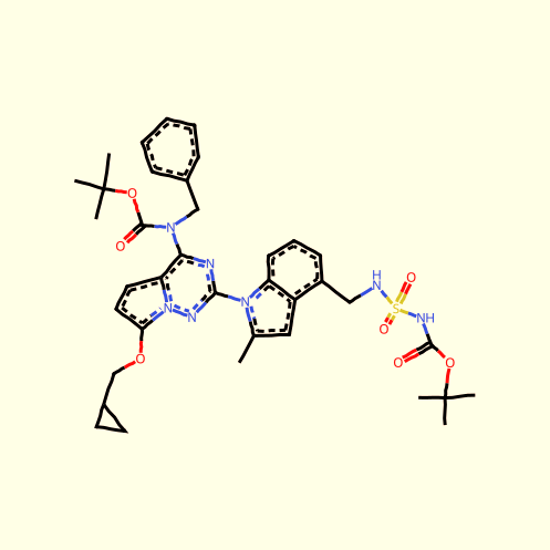 Cc1cc2c(CNS(=O)(=O)NC(=O)OC(C)(C)C)cccc2n1-c1nc(N(Cc2ccccc2)C(=O)OC(C)(C)C)c2ccc(OCC3CC3)n2n1